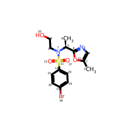 Cc1cnc([C@H](C)N(CCO)S(=O)(=O)c2ccc(Br)cc2)o1